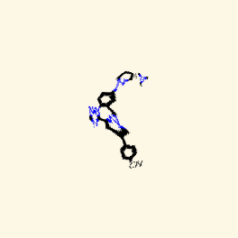 CN(C)C[C@H]1CCN(c2ccc3c(c2)Cn2cc(-c4ccc(C#N)cc4)cc2-c2ncnn2-3)C1